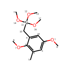 COc1cc(C)c(OC)c(C[Si](OC)(OC)OC)c1